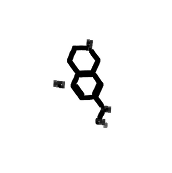 CNc1ccc2c(c1)CNCC2.Cl